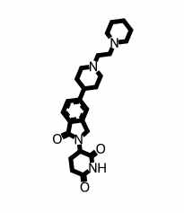 O=C1CCC(N2Cc3cc(C4CCN(CCN5CCCCC5)CC4)ccc3C2=O)C(=O)N1